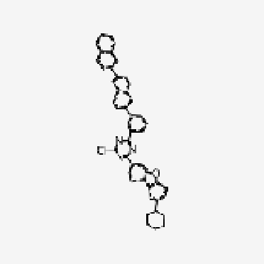 Clc1nc(-c2cccc(-c3ccc4cc(-c5ccc6ccccc6c5)ccc4c3)c2)nc(-c2ccc3c(c2)oc2ccc(C4CCCCC4)cc23)n1